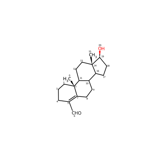 C[C@]12CCCC(C=O)=C1CCC1C2CC[C@@]2(C)C1CC[C@@H]2O